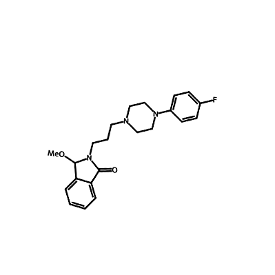 COC1c2ccccc2C(=O)N1CCCN1CCN(c2ccc(F)cc2)CC1